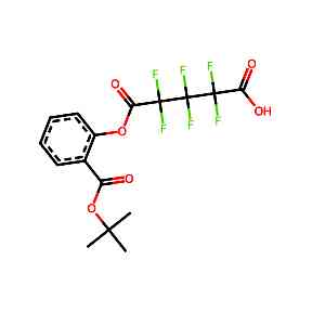 CC(C)(C)OC(=O)c1ccccc1OC(=O)C(F)(F)C(F)(F)C(F)(F)C(=O)O